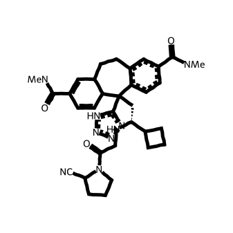 CNC(=O)C1=CC2CCc3cc(C(=O)NC)ccc3C(C[C@@H](NCC(=O)N3CCCC3C#N)C3CCC3)(c3nnn[nH]3)C2C=C1